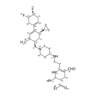 CCCC1NC(CCNC2CCN(C[C@@H]3C[C@H](C4CC4)C(C4=CC[C@H](F)C(F)C4)=CC3C)CC2)=C(C=O)C[C@@H]1C(=O)CC